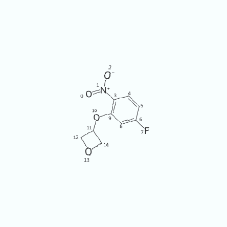 O=[N+]([O-])c1ccc(F)cc1OC1COC1